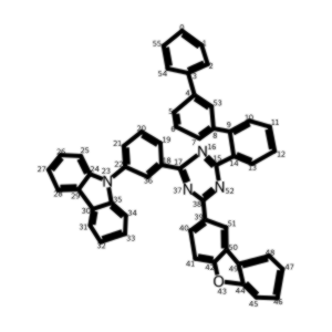 c1ccc(-c2cccc(-c3ccccc3-c3nc(-c4cccc(-n5c6ccccc6c6ccccc65)c4)nc(-c4ccc5oc6ccccc6c5c4)n3)c2)cc1